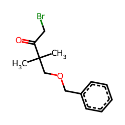 CC(C)(COCc1ccccc1)C(=O)CBr